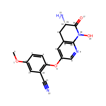 COc1ccc(Oc2cnc3c(c2)C[C@H](N)C(=O)N3O)c(C#N)c1